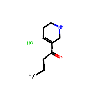 CCCC(=O)C1=CCCNC1.Cl